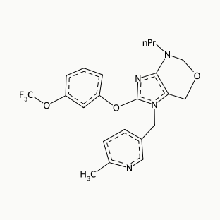 CCCN1COCc2c1nc(Oc1cccc(OC(F)(F)F)c1)n2Cc1ccc(C)nc1